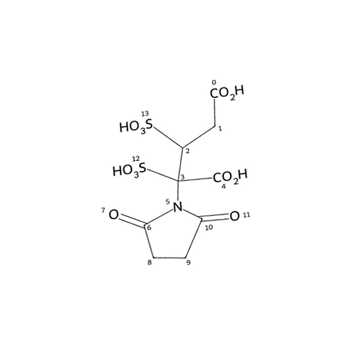 O=C(O)CC(C(C(=O)O)(N1C(=O)CCC1=O)S(=O)(=O)O)S(=O)(=O)O